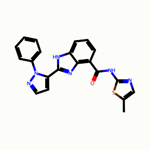 Cc1cnc(NC(=O)c2cccc3[nH]c(-c4ccnn4-c4ccccc4)nc23)s1